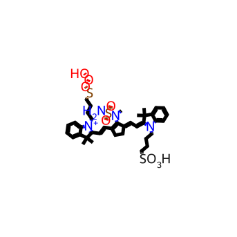 CN(C1=C(/C=C/C2=[N+](CCCCSOOO)c3ccccc3C2(C)C)CC/C1=C\C=C1\N(CCCCS(=O)(=O)O)c2ccccc2C1(C)C)S(N)(=O)=O